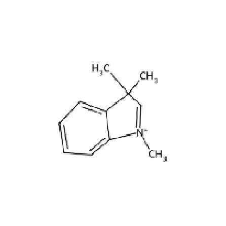 C[N+]1=CC(C)(C)c2ccccc21